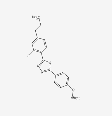 CCCCCCCOc1ccc(-c2nnc(-c3ccc(CCC(=O)O)cc3F)s2)cc1